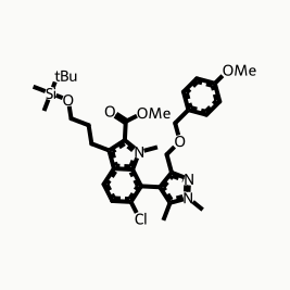 COC(=O)c1c(CCCO[Si](C)(C)C(C)(C)C)c2ccc(Cl)c(-c3c(COCc4ccc(OC)cc4)nn(C)c3C)c2n1C